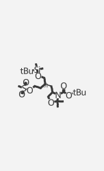 CC(C)(C)OC(=O)N1C(C[C@@H](CCOS(C)(=O)=O)CO[Si](C)(C)C(C)(C)C)COC1(C)C